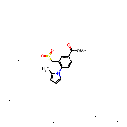 COC(=O)c1ccc(-n2cccc2C)c(C[SH](=O)=O)c1